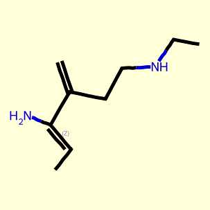 C=C(CCNCC)/C(N)=C/C